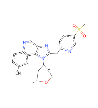 C[C@@H]1CC(n2c(Cc3ccc(S(C)(=O)=O)cn3)nc3cnc4ccc(C#N)cc4c32)CCO1